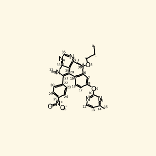 CCCOC(C)c1cc(Oc2nccc(C)n2)ccc1-c1c(-c2ccc([N+](=O)[O-])cc2)n(C)c2ncnc(C)c12